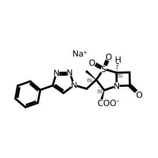 C[C@]1(Cn2cc(-c3ccccc3)nn2)[C@H](C(=O)[O-])N2C(=O)C[C@@H]2S1(=O)=O.[Na+]